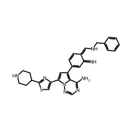 N=C1C=C(c2cc(-c3csc(C4CCNCC4)n3)n3ncnc(N)c23)C=C/C1=C/NCc1ccccc1